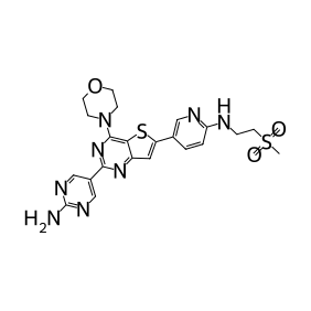 CS(=O)(=O)CCNc1ccc(-c2cc3nc(-c4cnc(N)nc4)nc(N4CCOCC4)c3s2)cn1